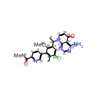 CNC(=O)c1ccc(-c2c(C)c(Cl)cc(C(C)n3ccc(=O)c4c(N)ncnc43)c2OC)cn1